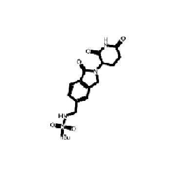 CCCCS(=O)(=O)NCc1ccc2c(c1)CN(C1CCC(=O)NC1=O)C2=O